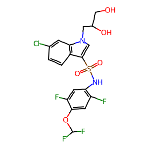 O=S(=O)(Nc1cc(F)c(OC(F)F)cc1F)c1cn(CC(O)CO)c2cc(Cl)ccc12